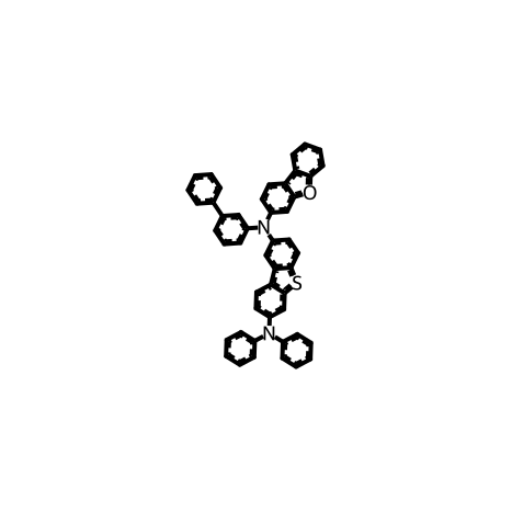 c1ccc(-c2cccc(N(c3ccc4c(c3)oc3ccccc34)c3ccc4sc5cc(N(c6ccccc6)c6ccccc6)ccc5c4c3)c2)cc1